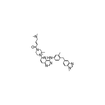 CC1=[N+](c2ccc3ncnc(Nc4ccc(Cc5ccc6c(c5)ncn6C)c(C)c4)c3n2)CCN(C(=O)/C=C/CN(C)C)C1